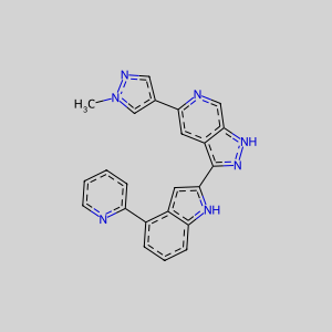 Cn1cc(-c2cc3c(-c4cc5c(-c6ccccn6)cccc5[nH]4)n[nH]c3cn2)cn1